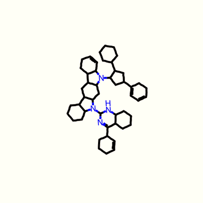 C1=CCCC(C2CC(C3CCCCC3)C(N3C4C=CCCC4C4CC5C6CCCCC6N(C6N=C(C7C=CCCC7)C7CCCCC7N6)C5CC43)C2)=C1